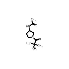 CC(=O)N[C@@H]1CCN(C(=O)C(C)(C)C)C1